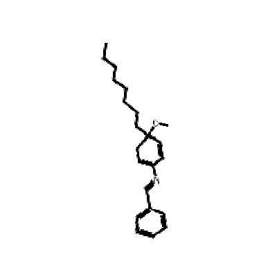 CCCCCCCCC1(OC)C=CC(N=Cc2ccccc2)=CC1